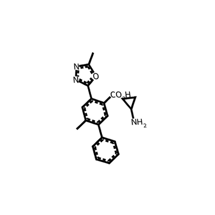 Cc1nnc(-c2cc(C)c(-c3ccccc3)cc2C(=O)O)o1.NC1CC1